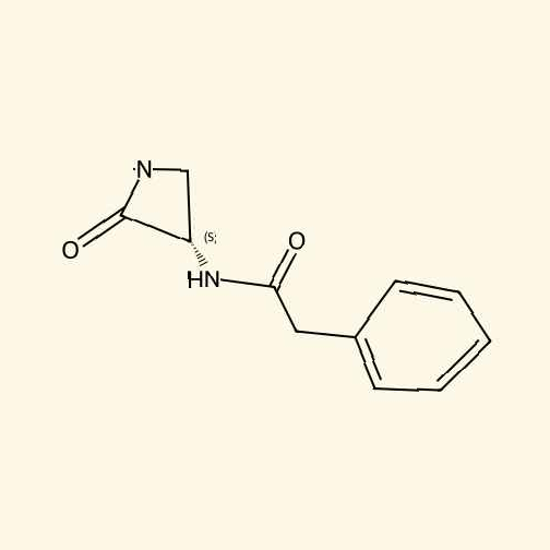 O=C(Cc1ccccc1)N[C@H]1C[N]C1=O